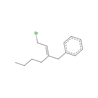 CCCCC(=CCBr)Cc1ccccc1